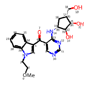 COCCn1cc(C(=O)c2cncnc2N[C@@H]2C[C@H](CO)[C@@H](O)[C@H]2O)c2ccccc21